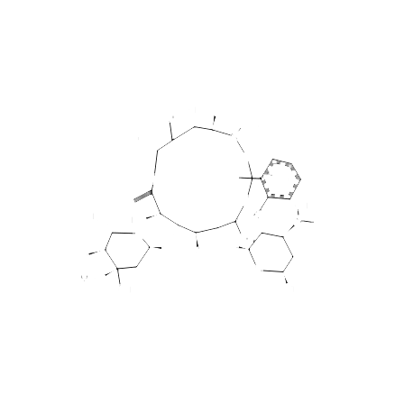 CC[C@H]1OC(=O)[C@H](C)[C@@H](O[C@H]2C[C@@](C)(OC)[C@@H](O)[C@H](C)O2)[C@H](C)[C@@H](O[C@@H]2O[C@H](C)C[C@H](N(C)C)[C@H]2Oc2ccccc2Cl)[C@](C)(O)C[C@@H](C)CN(C)[C@H](C)[C@@H](O)[C@]1(C)O